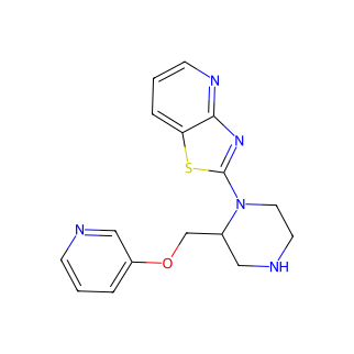 c1cncc(OCC2CNCCN2c2nc3ncccc3s2)c1